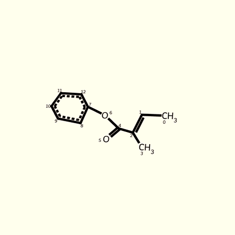 CC=C(C)C(=O)Oc1ccccc1